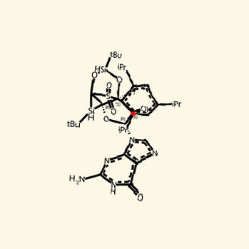 CC(C)c1cc(C(C)C)c(S(=O)(=O)C23O[SiH](C(C)(C)C)O[C@H]4[C@@H](O)[C@H](n5cnc6c(=O)[nH]c(N)nc65)O[C@@]42[SiH]3C(C)(C)C)c(C(C)C)c1